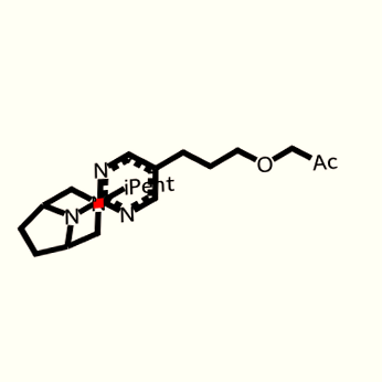 CCCC(C)N1CC2CCC(C1)N2c1ncc(CCCOCC(C)=O)cn1